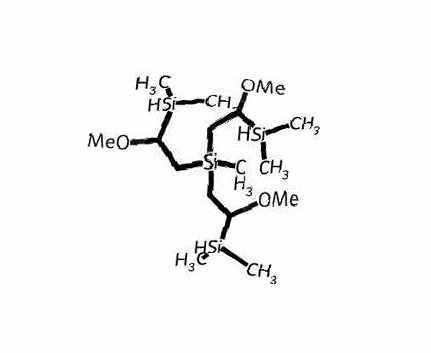 COC(C[Si](C)(CC(OC)[SiH](C)C)CC(OC)[SiH](C)C)[SiH](C)C